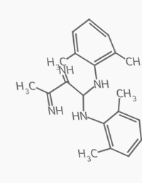 CC(=N)C(=N)C(Nc1c(C)cccc1C)Nc1c(C)cccc1C